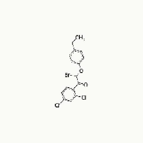 CCc1ccc(OC(Br)C(=O)c2ccc(Cl)cc2Cl)cc1